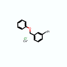 CCCc1cccc(COc2ccccc2)c1.[Cl-].[Cu+]